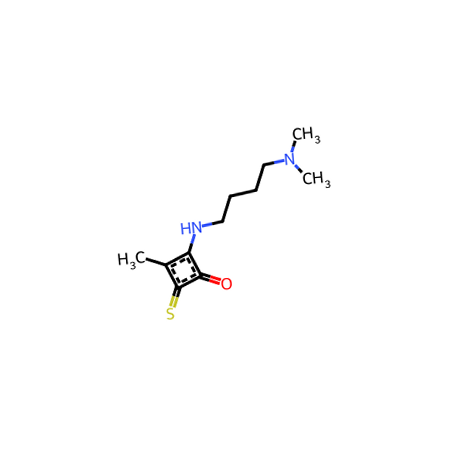 Cc1c(NCCCCN(C)C)c(=O)c1=S